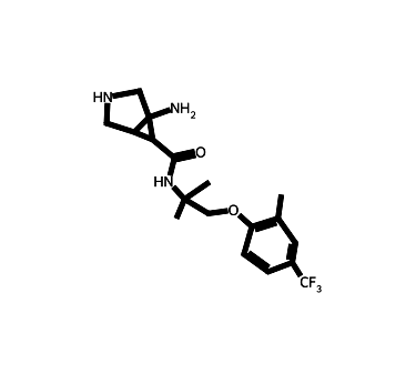 Cc1cc(C(F)(F)F)ccc1OCC(C)(C)NC(=O)C1C2CNCC21N